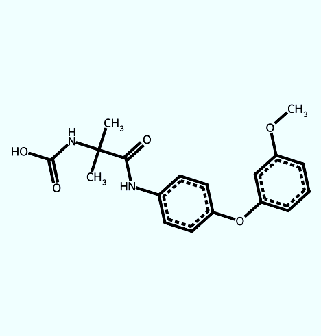 COc1cccc(Oc2ccc(NC(=O)C(C)(C)NC(=O)O)cc2)c1